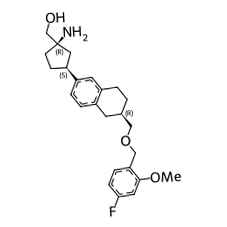 COc1cc(F)ccc1COC[C@@H]1CCc2cc([C@H]3CC[C@](N)(CO)C3)ccc2C1